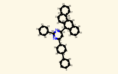 c1ccc(-c2ccc(-c3cc(-c4c5ccccc5cc5c4ccc4ccccc45)nc(-c4ccccc4)n3)cc2)cc1